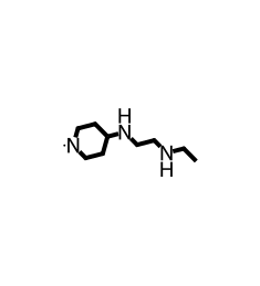 CCNCCNC1CC[N]CC1